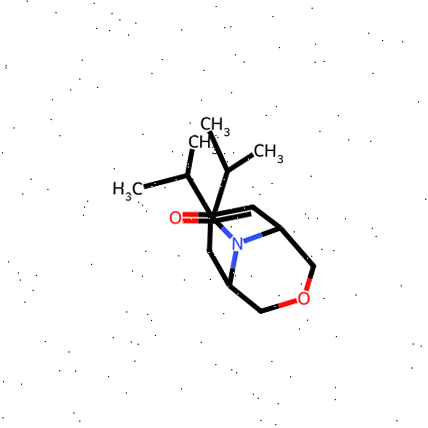 CC(C)C(=O)N1C2C=C(C(C)C)CC1COC2